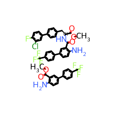 COC(=O)[C@H](Cc1ccc(-c2ccc(F)c(Cl)c2)cc1)NC(=O)c1cc(-c2ccc(C(F)(F)F)cc2)ccc1N.COC(=O)c1cc(-c2ccc(C(F)(F)F)cc2)ccc1N